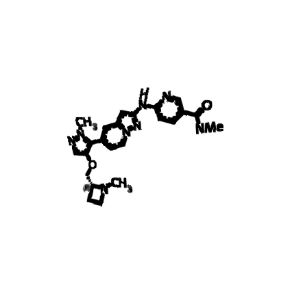 CNC(=O)c1ccc(Nc2cc3cc(-c4c(OC[C@H]5CCN5C)cnn4C)ccn3n2)nc1